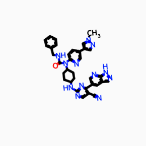 Cn1cc(-c2ccc(N(C(=O)NCc3ccccc3)C3CCC(Nc4ncc(C#N)c(-c5cnc6[nH]ncc6c5)n4)CC3)nc2)cn1